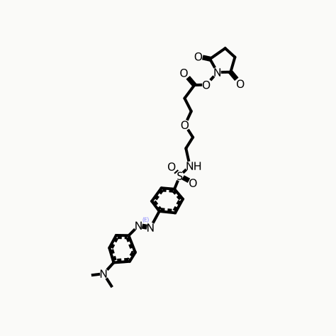 CN(C)c1ccc(/N=N/c2ccc(S(=O)(=O)NCCOCCC(=O)ON3C(=O)CCC3=O)cc2)cc1